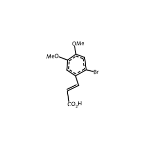 COc1cc(Br)c(/C=C/C(=O)O)cc1OC